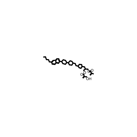 C=C(C)C(=O)OCC(COC(=O)C(=C)CO)CC1CCC(CCC2CCC(C3CCC(c4ccc5cc(CCCCC)ccc5c4)CC3)CC2)CC1